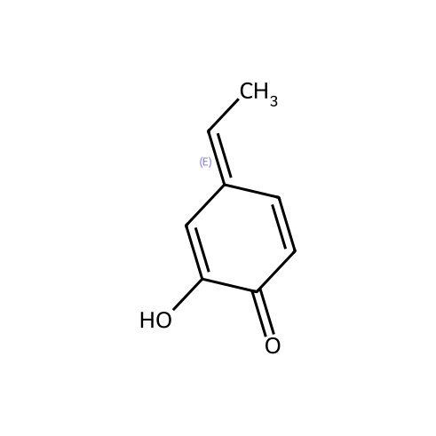 C/C=C1\C=CC(=O)C(O)=C1